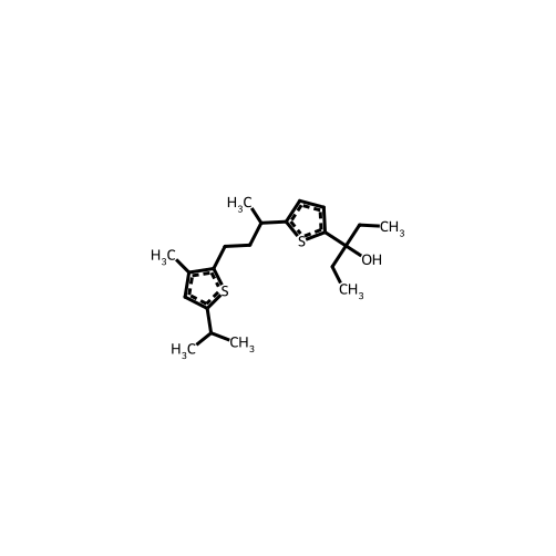 CCC(O)(CC)c1ccc(C(C)CCc2sc(C(C)C)cc2C)s1